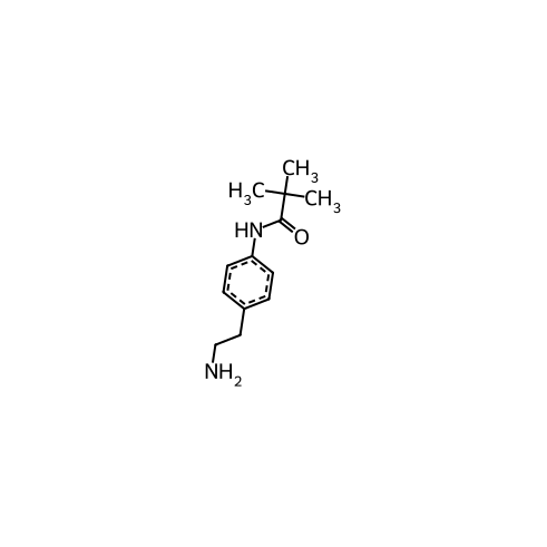 CC(C)(C)C(=O)Nc1ccc(CCN)cc1